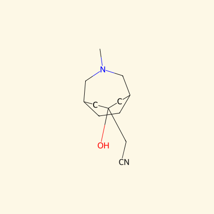 CN1CC2CCC(C1)CC(O)(CC#N)C2